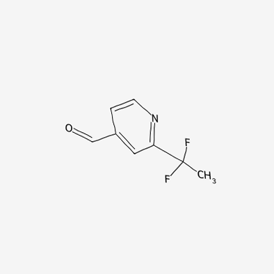 CC(F)(F)c1cc(C=O)ccn1